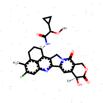 CCCOC(C(=O)N[C@H]1CCc2c(C)c(F)cc3nc4c(c1c23)Cn1c-4cc2c(c1=O)COC(=O)[C@]2(O)CC)C1CC1